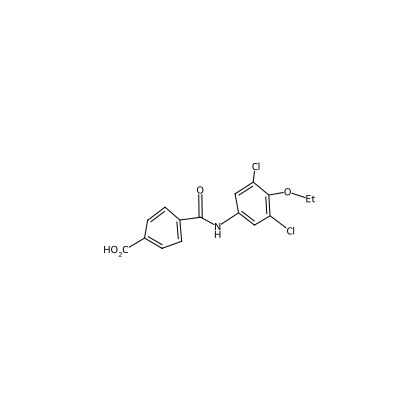 CCOc1c(Cl)cc(NC(=O)c2ccc(C(=O)O)cc2)cc1Cl